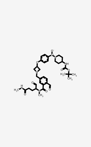 CNC(=O)CCC(C=O)N(C)C(=O)c1cc(CN2CC(Oc3ccc([S+]([O-])N4CCC(NC(=O)OC(C)(C)C)CC4)cc3)C2)ccc1C=O